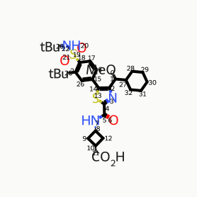 COC(c1nc(C(=O)N[C@H]2C[C@H](C(=O)O)C2)sc1-c1ccc(S(=O)(=O)NC(C)(C)C)c(C(C)(C)C)c1)C1CCCCC1